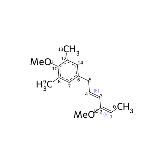 C/C=C(\C=C\Cc1cc(C)c(OC)c(C)c1)OC